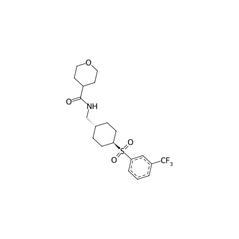 O=C(NC[C@H]1CC[C@H](S(=O)(=O)c2cccc(C(F)(F)F)c2)CC1)C1CCOCC1